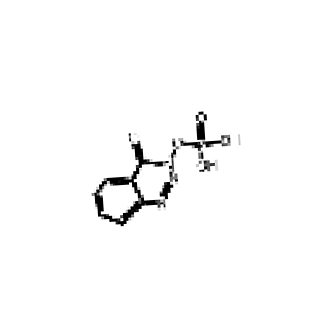 O=c1c2ccccc2nnn1OP(=O)(O)O